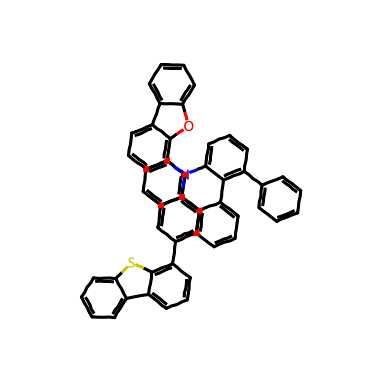 c1ccc(-c2ccccc2-c2c(-c3ccccc3)cccc2N(c2ccc(-c3cccc4c3sc3ccccc34)cc2)c2cccc3c2oc2ccccc23)cc1